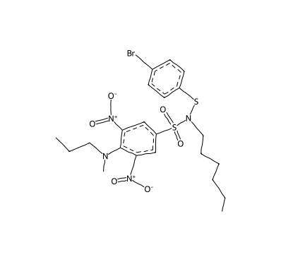 CCCCCCN(Sc1ccc(Br)cc1)S(=O)(=O)c1cc([N+](=O)[O-])c(N(C)CCC)c([N+](=O)[O-])c1